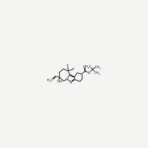 C=CC1(O)CCC(F)(F)c2c3c(nn2C1)CCN(C(=O)OC(C)(C)C)C3